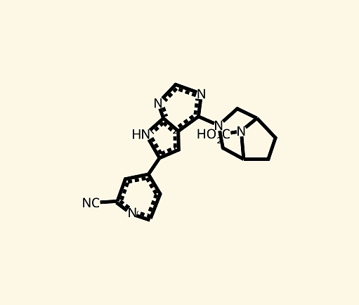 N#Cc1cc(-c2cc3c(N4CC5CCC(C4)N5C(=O)O)ncnc3[nH]2)ccn1